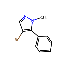 Cn1ncc(Br)c1-c1ccccc1